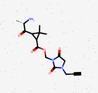 C#CCN1CC(=O)N(COC(=O)C2C(C(=O)[C@H](C)N)C2(C)C)C1=O